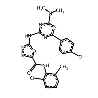 Cc1cccc(Cl)c1NC(=O)c1nnc(Nc2nc(-c3ccc(Cl)cc3)nc(N(C)C)n2)o1